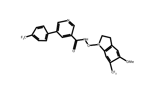 COc1cc2c(cc1C(F)(F)F)N(ONC(=O)c1cncc(-c3ccc(C(F)(F)F)cc3)c1)CC2